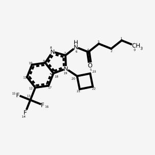 CCCCC(=O)Nc1nc2ccc(C(F)(F)F)cc2n1C1CCC1